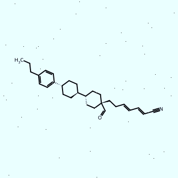 CCCc1ccc([C@H]2CC[C@H]([C@H]3CC[C@](C=O)(CCC=CC=CC#N)CC3)CC2)cc1